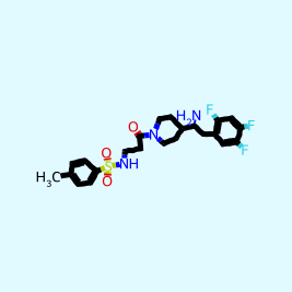 Cc1ccc(S(=O)(=O)NCCC(=O)N2CCC([C@H](N)Cc3cc(F)c(F)cc3F)CC2)cc1